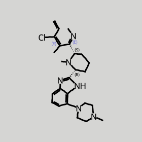 C=C/C(Cl)=C(C)\C(=N/C)[C@@H]1CCC[C@H](c2nc3cccc(N4CCN(C)CC4)c3[nH]2)N1C